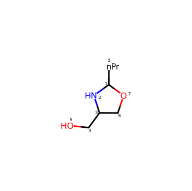 CCCC1NC(CO)CO1